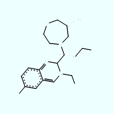 CCC[C@H](C1N=c2ccc(Br)cc2=CN1CC)N1CCNC[C@H](O)C1